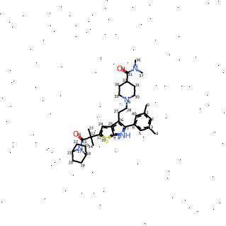 Cc1cc(C)cc(-c2[nH]c3sc(C(C)(C)C(=O)N4C5CCC4CC5)cc3c2CCN2CCC(C(=O)N(C)C)CC2)c1